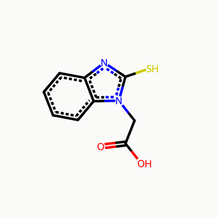 O=C(O)Cn1c(S)nc2ccccc21